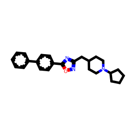 c1ccc(-c2ccc(-c3nc(CC4CCN(C5CCCC5)CC4)no3)cc2)cc1